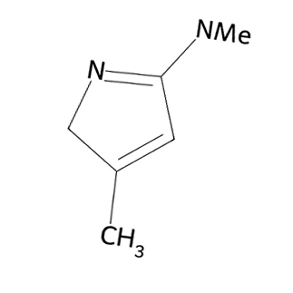 CNC1=NCC(C)=C1